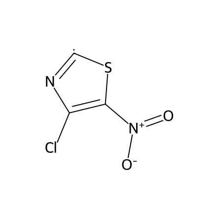 O=[N+]([O-])c1s[c]nc1Cl